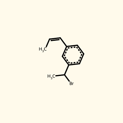 C/C=C\c1cccc(C(C)Br)c1